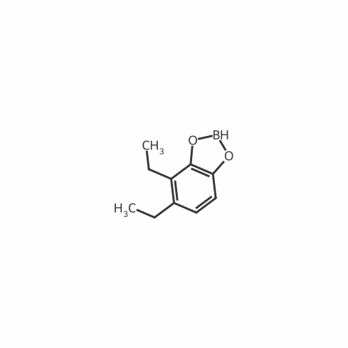 CCc1ccc2c(c1CC)OBO2